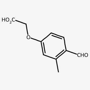 Cc1cc(OCC(=O)O)ccc1C=O